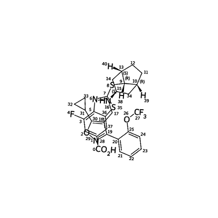 O=C(O)c1cc(F)c2nc(S[C@H]3[C@@H]4CC[C@H]3C[C@H](NCc3c(-c5ccccc5OC(F)(F)F)noc3C3CC3)C4)sc2c1